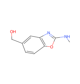 CNc1nc2cc(CO)ccc2o1